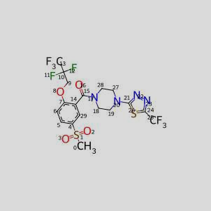 CS(=O)(=O)c1ccc(OCC(F)(F)C(F)(F)F)c(C(=O)N2CCN(c3nnc(C(F)(F)F)s3)CC2)c1